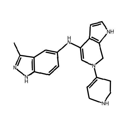 Cc1n[nH]c2ccc(NC3=CN(C4=CCNCC4)Cc4[nH]ccc43)cc12